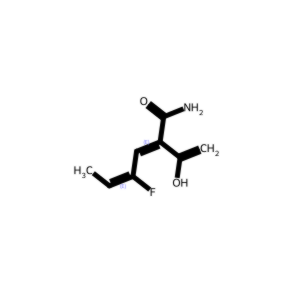 C=C(O)/C(=C\C(F)=C/C)C(N)=O